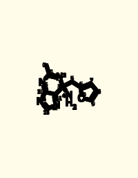 CC1=NC(N)(Cc2ccco2)C2=NC=NC2=N1